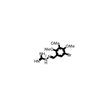 COc1c(Br)cc(C=NNC(=N)N)c(OC)c1OC